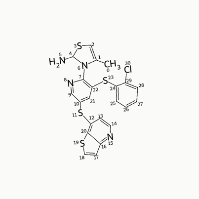 CC1=CSC(N)N1c1ncc(Sc2ccnc3ccsc23)cc1Sc1ccccc1Cl